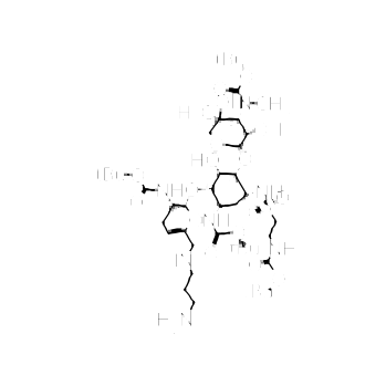 CN(C(=O)OC(C)(C)C)[C@@H]1[C@@H](O)[C@@H](O[C@@H]2[C@@H](O)[C@H](O[C@H]3OC(CNCCCN)=CC[C@H]3NC(=O)OC(C)(C)C)[C@@H](NC(=O)OC(C)(C)C)C[C@H]2NS(=O)(=O)CCNC(=O)OC(C)(C)C)OC[C@]1(C)O